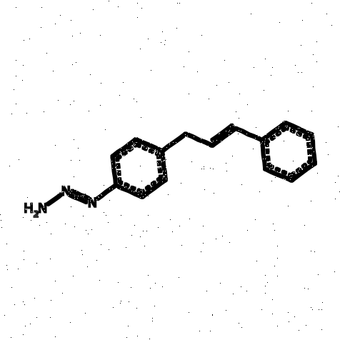 N/N=N/c1ccc(C/C=C/c2ccccc2)cc1